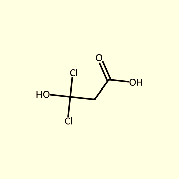 O=C(O)CC(O)(Cl)Cl